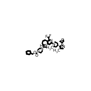 Cc1cnn(C2COC2)c1[C@H]1CCN(c2cc3c(c(C(F)F)n2)C=CC[C@H]2[C@H](N4CCN(C(=O)OCc5ccccc5)CC4)CN32)[C@H](C)C1